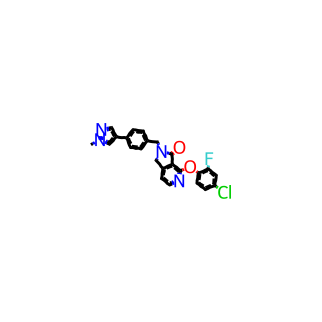 Cn1cc(-c2ccc(CN3Cc4ccnc(Oc5ccc(Cl)cc5F)c4C3=O)cc2)cn1